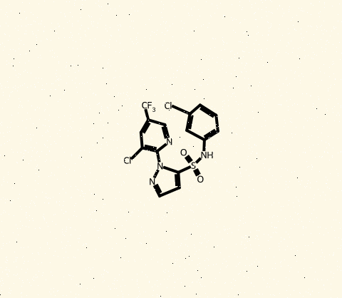 O=S(=O)(Nc1cccc(Cl)c1)c1ccnn1-c1ncc(C(F)(F)F)cc1Cl